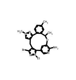 CCn1nc(Br)c2c1-c1cnc(N)c(c1)OC(C)c1cc(C)ccc1-c1nn(C)cc1C2